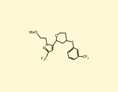 COCCn1nc(C(F)(F)F)cc1C1CC(Sc2cccc(C(F)(F)F)c2)CCO1